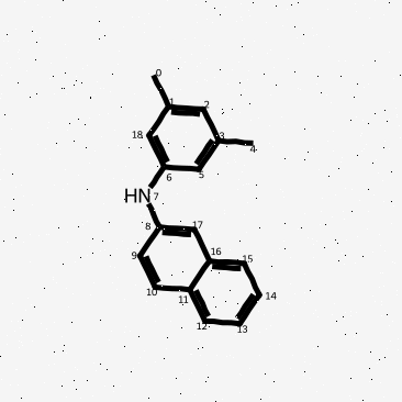 Cc1cc(C)cc(Nc2ccc3ccccc3c2)c1